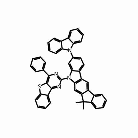 CC1(C)c2ccccc2-c2cc3c4ccc(-n5c6ccccc6c6ccccc65)cc4n(-c4nc(-c5ccccc5)c5sc6ccccc6c5n4)c3cc21